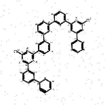 Clc1cc(-c2ccccc2)cc(-c2cccc(-c3cccc(-c4cccc(-c5nc(Cl)nc(-c6cccc(C7C#CC=CC7)c6)n5)c4)c3)c2)n1